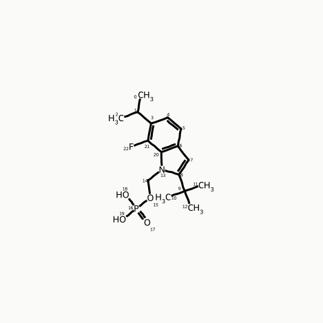 CC(C)c1ccc2cc(C(C)(C)C)n(COP(=O)(O)O)c2c1F